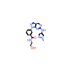 Cn1cc(Nc2ncc3cnn(-c4cccc(C(=O)NCCO)c4)c3n2)cn1